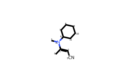 CC(=CC#N)N(C)C1CCCCC1